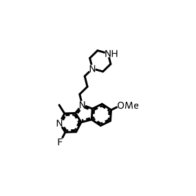 COc1ccc2c3cc(F)nc(C)c3n(CCCN3CCNCC3)c2c1